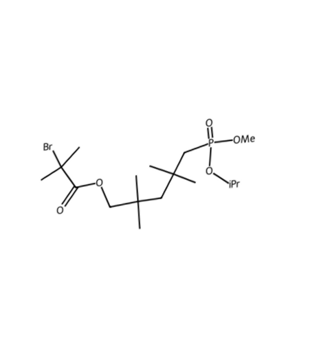 COP(=O)(CC(C)(C)CC(C)(C)COC(=O)C(C)(C)Br)OC(C)C